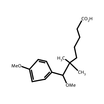 COc1ccc(C(OC)C(C)(C)CCCCC(=O)O)cc1